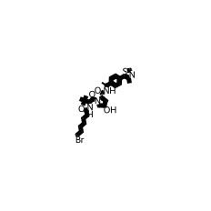 Cc1ncsc1-c1ccc([C@H](C)NC(=O)[C@@H]2C[C@@H](O)CN2C(=O)C(NC(=O)CCCCCCBr)C(C)(C)C)cc1